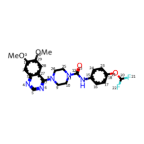 COc1cc2ncnc(N3CCN(C(=O)Nc4ccc(OC(F)F)cc4)CC3)c2cc1OC